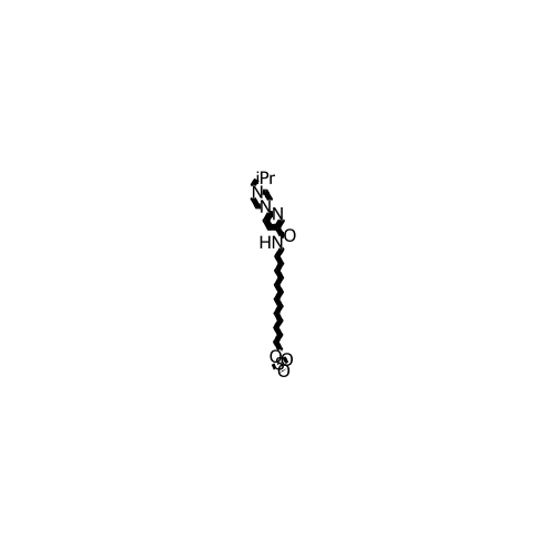 CC(C)CN1CCN(c2ccc(C(=O)NCCCCCCCCCCCCCCCOS(C)(=O)=O)cn2)CC1